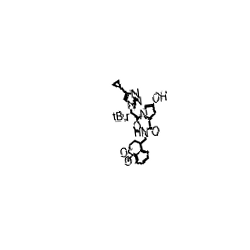 CC(C)(C)[C@@H](C(=O)N1CC(O)CC1C(=O)NCC1CCS(=O)(=O)c2ccccc21)n1cc(C2CC2)nn1